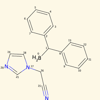 BC(c1ccccc1)c1ccccc1.N#CCn1ccnc1